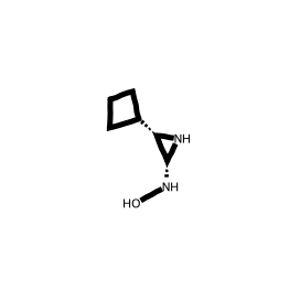 ON[C@H]1N[C@H]1C1CCC1